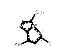 CCOC(=O)c1cnc2c(NC)cc(Cl)nn12